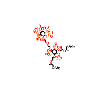 COCC(C)OCCO[C@@H]1[C@@H](O[PH](=O)O)[C@@H](OCCOCCO[C@H]2[C@@H](O[PH](=O)O)[C@H](O[PH](=O)O)[C@@H](O[PH](=O)O)[C@H](O[PH](=O)O)[C@H]2O[PH](=O)O)[C@@H](O[PH](=O)O)[C@H](OCCO[C@H](C)COC)[C@H]1O[PH](=O)O